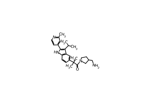 Cc1cc(-c2[nH]c3ccc(C(C)(C)C(=O)N4CCC(CN)C4)cc3c2C(C)C)ccn1